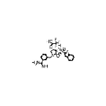 N=C(N)c1cccc(CN2CC[C@H](NS(=O)(=O)c3cc4ccccc4s3)C2=O)c1.O=C(O)C(F)(F)F